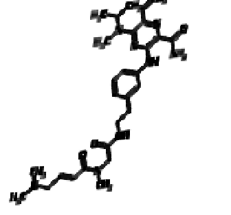 C=Cc1nc(C(N)=O)c(Nc2cccc(CCNC(=O)CN(C)C(=O)/C=C/CN(C)C)c2)nc1N(C)C(C)C